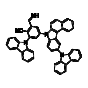 N#Cc1c(C=N)cc(-n2c3ccc(-n4c5ccccc5c5ccccc54)cc3c3c4ccccc4ccc32)cc1-n1c2ccccc2c2ccccc21